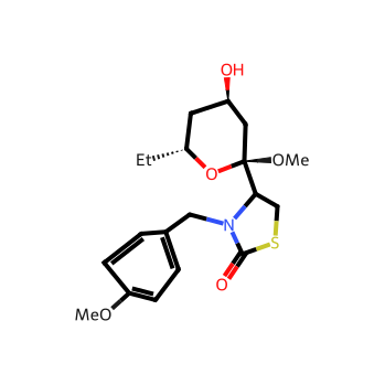 CC[C@@H]1C[C@@H](O)C[C@](OC)(C2CSC(=O)N2Cc2ccc(OC)cc2)O1